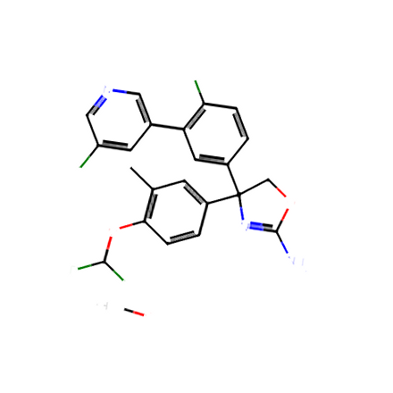 Cc1cc(C2(c3ccc(F)c(-c4cncc(Cl)c4)c3)COC(N)=N2)ccc1OC(F)F.O=CO